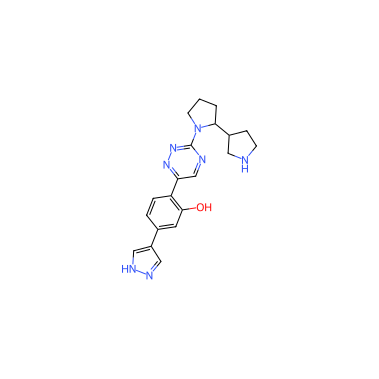 Oc1cc(-c2cn[nH]c2)ccc1-c1cnc(N2CCCC2C2CCNC2)nn1